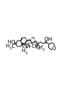 CC[C@H]1[C@H]([C@@H]2CC[C@H]([C@H](C)CC[C@@H](O)C3CCOCC3)C2(C)C)CC=C2C[C@@](C)(O)CC[C@@]21C